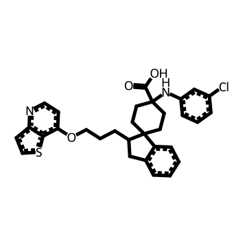 O=C(O)C1(Nc2cccc(Cl)c2)CCC2(CC1)c1ccccc1CC2CCCOc1ccnc2ccsc12